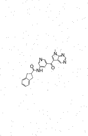 Cn1cc(C(=O)c2cncc(NC(=O)C3Cc4ccccc4C3)c2)c2cncnc21